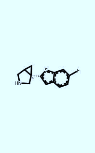 Fc1ccc2cc([C@]34CNCC3C4)sc2c1